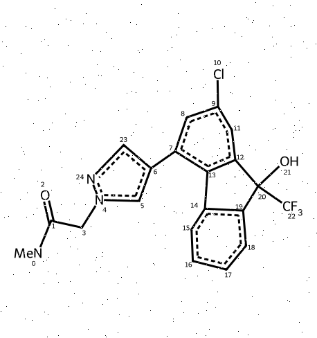 CNC(=O)Cn1cc(-c2cc(Cl)cc3c2-c2ccccc2C3(O)C(F)(F)F)cn1